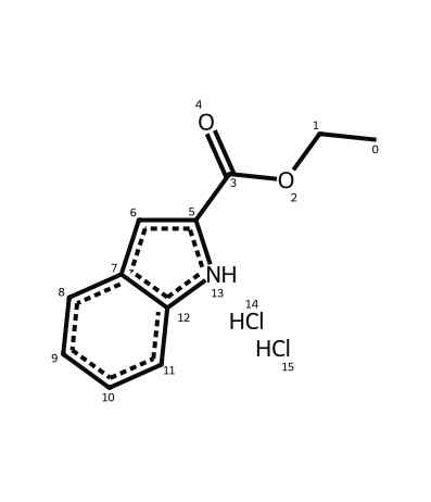 CCOC(=O)c1cc2ccccc2[nH]1.Cl.Cl